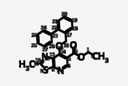 CCOC(=O)c1cnc2sc(C)nc2c1OCc1ccccc1-c1ccccc1